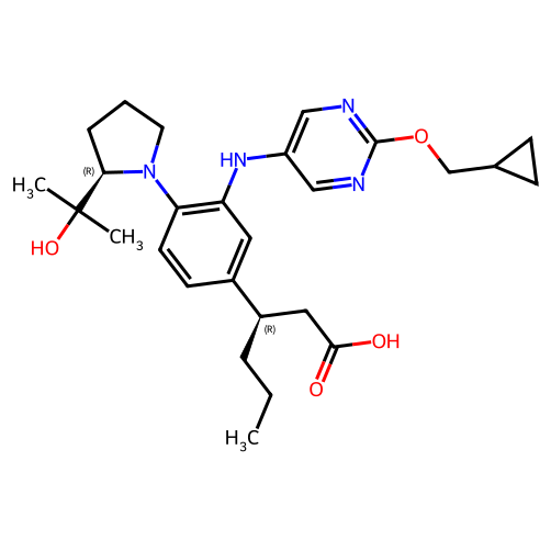 CCC[C@H](CC(=O)O)c1ccc(N2CCC[C@@H]2C(C)(C)O)c(Nc2cnc(OCC3CC3)nc2)c1